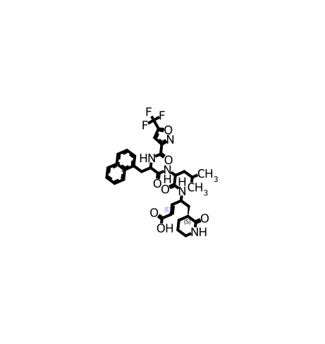 CC(C)CC(NC(=O)C(Cc1cccc2ccccc12)NC(=O)c1cc(C(F)(F)F)on1)C(=O)NC(/C=C/C(=O)O)C[C@@H]1CCCNC1=O